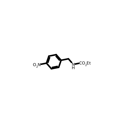 CCOC(=O)NCc1ccc([N+](=O)[O-])cc1